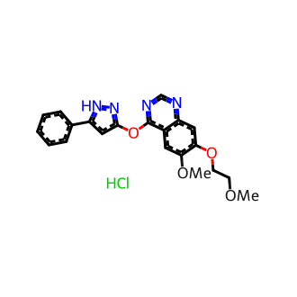 COCCOc1cc2ncnc(Oc3cc(-c4ccccc4)[nH]n3)c2cc1OC.Cl